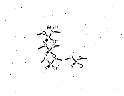 COP([O-])(=S)SC.COP([O-])(=S)SC.COP([O-])(=S)SC.COP([O-])(=S)SC.[Mo+4]